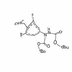 CC(C)(C)OC(=O)NN(C(=O)OC(C)(C)C)c1cc(F)c(C=O)c(F)c1